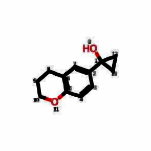 OC1(c2ccc3c(c2)CCCO3)CC1